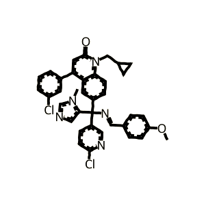 COc1ccc(C=NC(c2ccc(Cl)nc2)(c2ccc3c(c2)c(-c2cccc(Cl)c2)cc(=O)n3CC2CC2)c2cncn2C)cc1